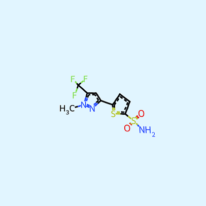 Cn1nc(-c2ccc(S(N)(=O)=O)s2)cc1C(F)(F)F